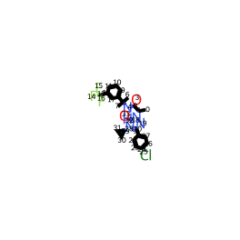 CC(C(=O)NC(C)(C)c1cccc(C(F)(F)F)c1)n1nc(-c2ccc(Cl)cc2)n(C2CC2)c1=O